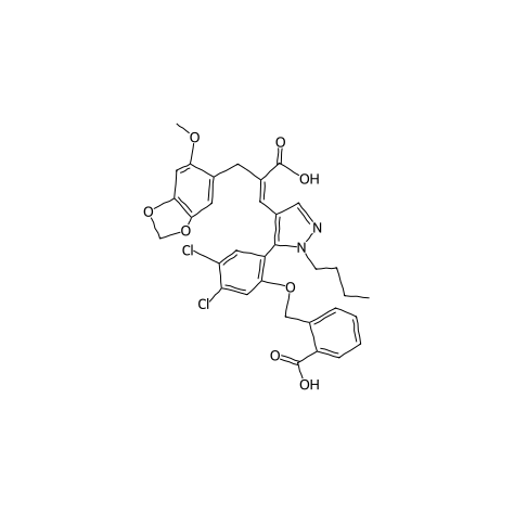 CCCCn1ncc(C=C(Cc2cc3c(cc2OC)OCO3)C(=O)O)c1-c1cc(Cl)c(Cl)cc1OCc1ccccc1C(=O)O